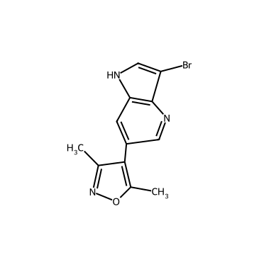 Cc1noc(C)c1-c1cnc2c(Br)c[nH]c2c1